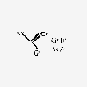 O.[Li+].[Li+].[O]=[Ti]([O-])[O-]